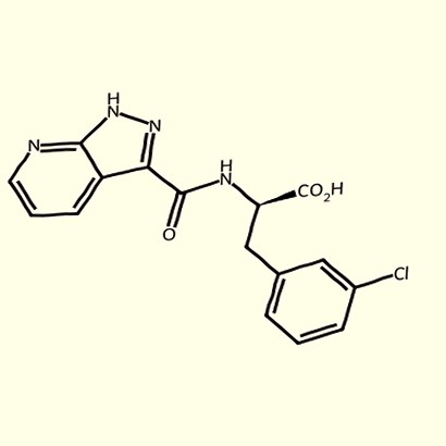 O=C(N[C@H](Cc1cccc(Cl)c1)C(=O)O)c1n[nH]c2ncccc12